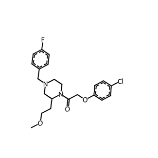 COCCC1CN(Cc2ccc(F)cc2)CCN1C(=O)COc1ccc(Cl)cc1